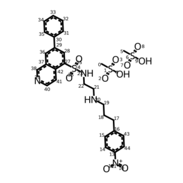 CS(=O)(=O)O.CS(=O)(=O)O.O=[N+]([O-])c1ccc(CCCNCCNS(=O)(=O)c2cc(-c3ccccc3)cc3cnccc23)cc1